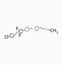 CCCCCCC[C@H]1CC[C@H](CCC2CCC(c3cc(F)c(CCc4ccc(Cl)cc4)c(F)c3)CC2)CC1